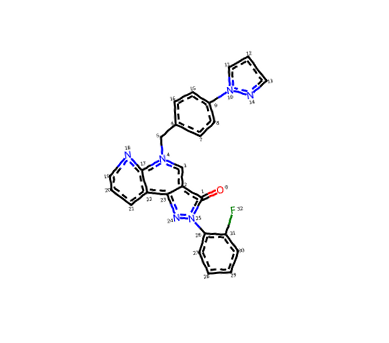 O=c1c2cn(Cc3ccc(-n4cccn4)cc3)c3ncccc3c-2nn1-c1ccccc1F